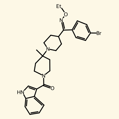 CCON=C(c1ccc(Br)cc1)C1CCN(C2(C)CCN(C(=O)c3c[nH]c4ccccc34)CC2)CC1